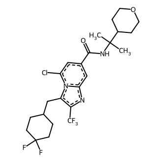 CC(C)(NC(=O)c1cc(Cl)n2c(CC3CCC(F)(F)CC3)c(C(F)(F)F)nc2c1)C1CCOCC1